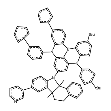 CC(C)(C)c1ccc(N2c3ccc(C(C)(C)C)cc3B3c4ccc(-c5ccccc5)cc4N(c4cccc(-c5ccccc5)c4)c4cc(N5c6ccc(-c7cccnc7)cc6C6(C)CCc7ccccc7C56C)cc2c43)cc1